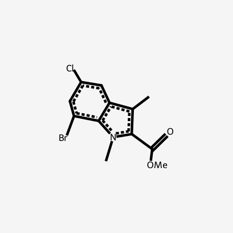 COC(=O)c1c(C)c2cc(Cl)cc(Br)c2n1C